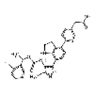 Cc1noc(-c2ccc(-c3ccc(CC(=O)O)cc3)c3c2NCC3)c1NC(=O)OC(C)c1ccccc1Cl